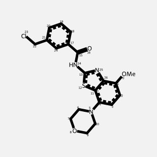 COc1ccc(N2CCOCC2)c2sc(NC(=O)c3cccc(CCl)c3)nc12